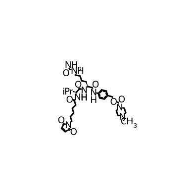 CC(C)[C@H](NC(=O)CCCCCN1C(=O)C=CC1=O)C(=O)N[C@@H](CCCCNC(N)=O)C(=O)Nc1ccc(COC(=O)N2CCN(C)CC2)cc1